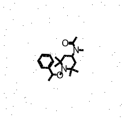 CC(=O)N(C)C1CC(C)(C)N(OC(C)c2ccccc2)C(C)(C)C1